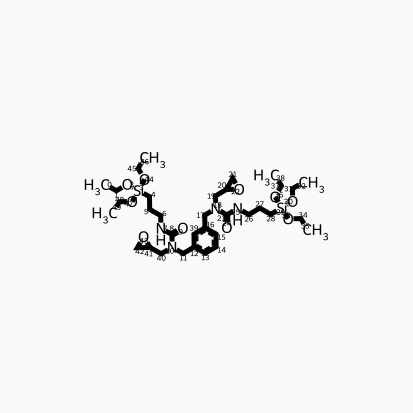 CCO[Si](CCCNC(=O)N(Cc1cccc(CN(CC2CO2)C(=O)NCCC[Si](OCC)(OCC)OCC)c1)CC1CO1)(OCC)OCC